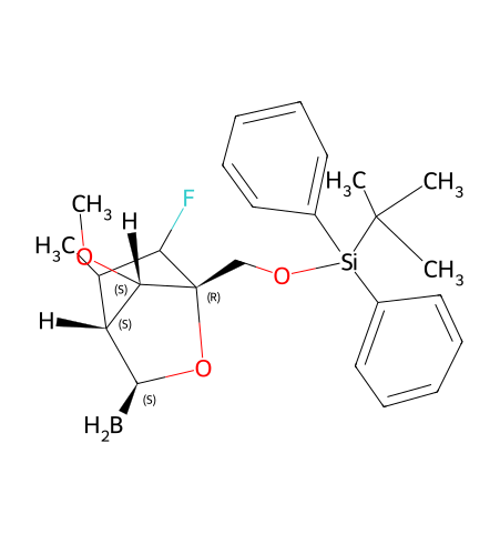 B[C@@H]1O[C@@]2(CO[Si](c3ccccc3)(c3ccccc3)C(C)(C)C)C(F)C(C)[C@@H]1[C@@H]2OC